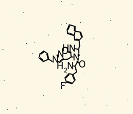 NC(Cc1ccc(F)cc1)C(=O)N1CC(Cc2ccc3ccccc3c2)NC(=O)C1Cc1cn(Cc2ccccc2)cn1